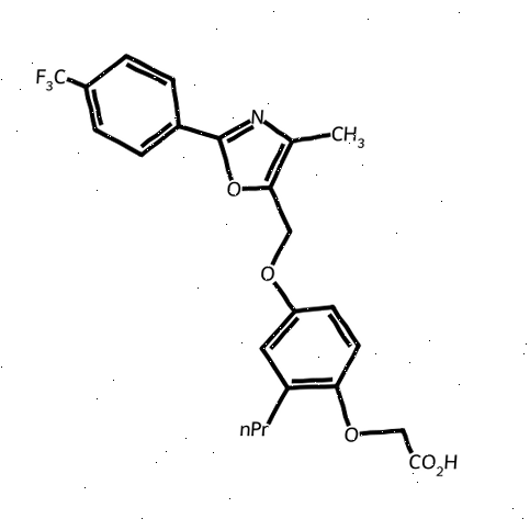 CCCc1cc(OCc2oc(-c3ccc(C(F)(F)F)cc3)nc2C)ccc1OCC(=O)O